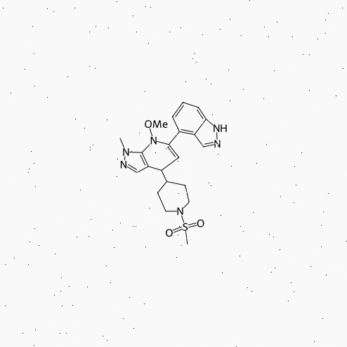 CON1C(c2cccc3[nH]ncc23)=CC(C2CCN(S(C)(=O)=O)CC2)c2cnn(C)c21